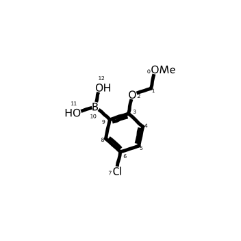 COCOc1ccc(Cl)cc1B(O)O